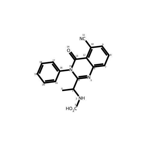 CC(NC(=O)O)c1nc2cccc(C#N)c2c(=O)n1-c1ccccc1